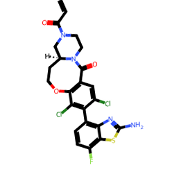 C=CC(=O)N1CCN2C(=O)c3cc(Cl)c(-c4ccc(F)c5sc(N)nc45)c(Cl)c3OCC[C@H]2C1